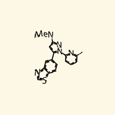 CNc1cc(-c2ccc3scnc3c2)n(-c2cccc(C)n2)n1